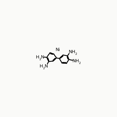 Nc1ccc(-c2ccc(N)c(N)c2)cc1N.[Ni]